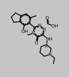 CCN1CCC[C@@H](Nc2nnc(-c3c(C)cc4c(c3O)CCC4)n(C)c2=O)C1.O=CO